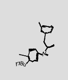 C=C(Cc1cccc(C)c1)N(C)C1=CCC(CCCC)=C(C)C=C1